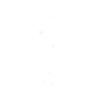 COc1c(F)ccc(Oc2ccc(B3OC(C)(C)C(C)(C)O3)cc2)c1F